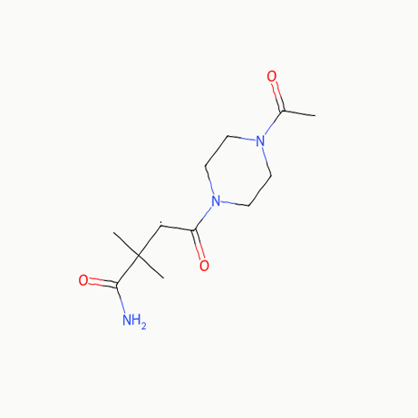 CC(=O)N1CCN(C(=O)[CH]C(C)(C)C(N)=O)CC1